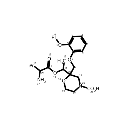 CCOc1ccccc1OCC1(C(C)OC(=O)C(N)C(C)C)CN(C(=O)O)CCO1